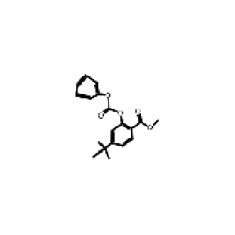 COC(=O)c1ccc(C(C)(C)C)cc1OC(=O)Oc1ccccc1